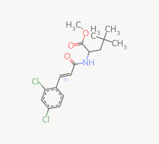 COC(=O)C(CC(C)(C)C)NC(=O)/C=C/c1ccc(Cl)cc1Cl